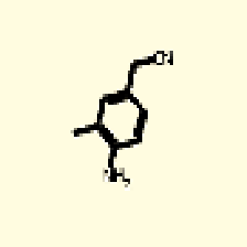 Cc1cc(CC#N)ccc1N